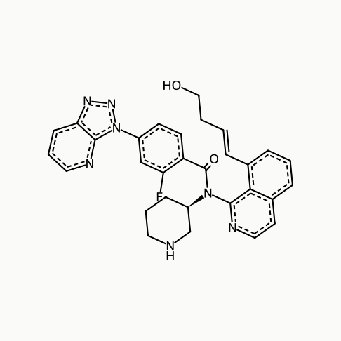 O=C(c1ccc(-n2nnc3cccnc32)cc1F)N(c1nccc2cccc(/C=C/CCO)c12)[C@@H]1CCCNC1